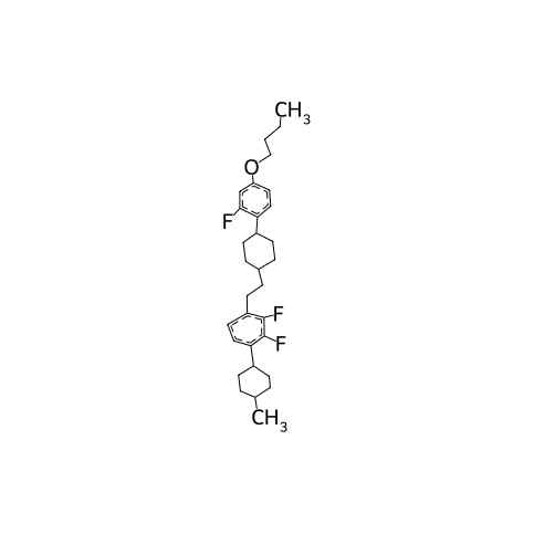 CCCCOc1ccc(C2CCC(CCc3ccc(C4CCC(C)CC4)c(F)c3F)CC2)c(F)c1